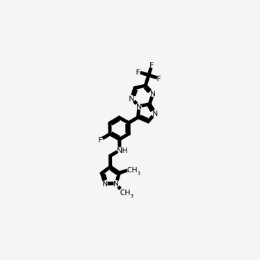 Cc1c(CNc2cc(-c3cnc4nc(C(F)(F)F)cnn34)ccc2F)cnn1C